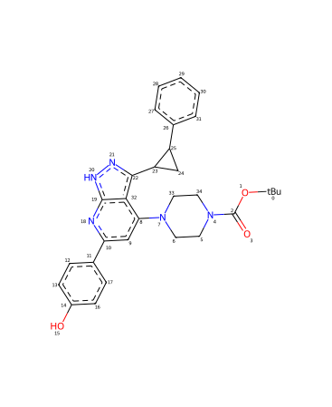 CC(C)(C)OC(=O)N1CCN(c2cc(-c3ccc(O)cc3)nc3[nH]nc(C4CC4c4ccccc4)c23)CC1